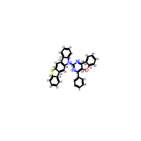 c1ccc(-c2nc(-n3c4ccccc4c4cc5sc6ccccc6c5cc43)nc3c2oc2ccccc23)cc1